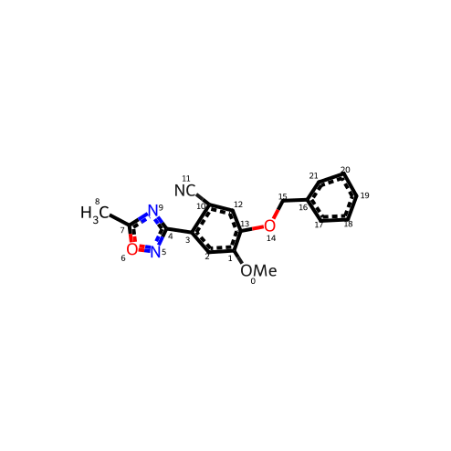 COc1cc(-c2noc(C)n2)c(C#N)cc1OCc1ccccc1